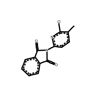 Cc1ccc(N2C(=O)c3ccccc3C2=O)nc1Cl